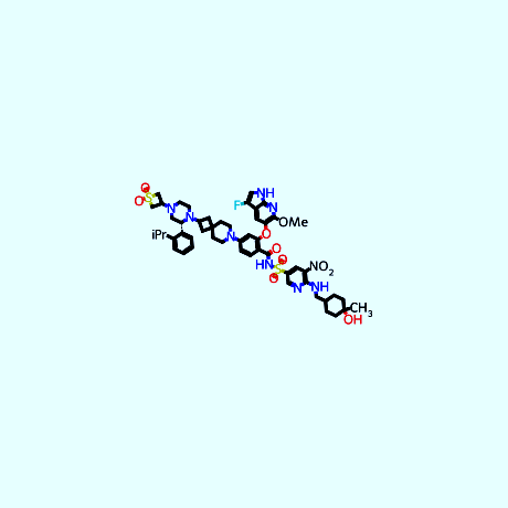 COc1nc2[nH]cc(F)c2cc1Oc1cc(N2CCC3(CC2)CC(N2CCN(C4CS(=O)(=O)C4)C[C@H]2c2ccccc2C(C)C)C3)ccc1C(=O)NS(=O)(=O)c1cnc(NCC2CCC(C)(O)CC2)c([N+](=O)[O-])c1